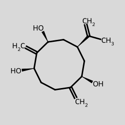 C=C(C)[C@H]1C[C@@H](O)C(=C)CC[C@@H](O)C(=C)[C@@H](O)C1